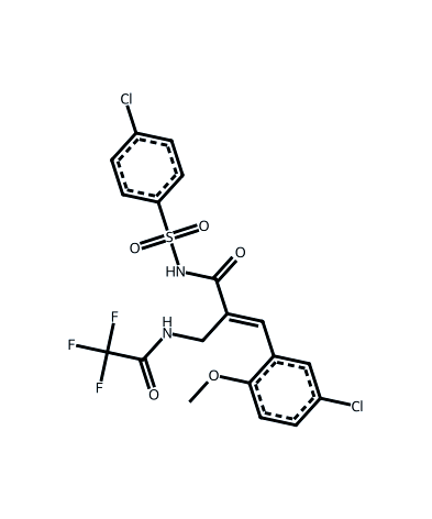 COc1ccc(Cl)cc1C=C(CNC(=O)C(F)(F)F)C(=O)NS(=O)(=O)c1ccc(Cl)cc1